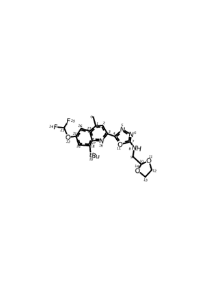 Cc1cc(-c2nnc(NCC3OCCO3)o2)nc2c(C(C)(C)C)cc(OC(F)F)cc12